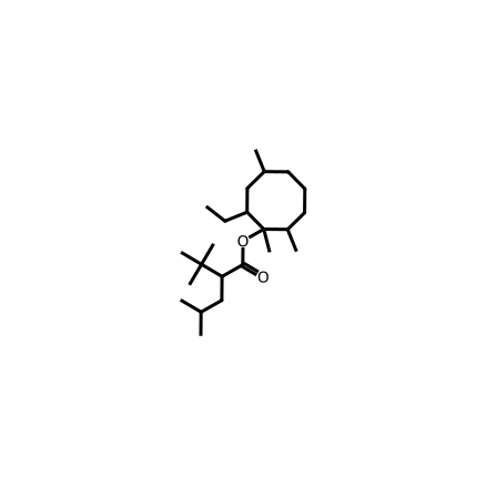 CCC1CC(C)CCCC(C)C1(C)OC(=O)C(CC(C)C)C(C)(C)C